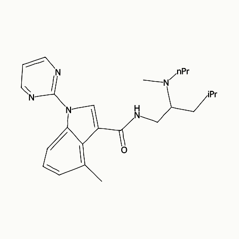 CCCN(C)C(CNC(=O)c1cn(-c2ncccn2)c2cccc(C)c12)CC(C)C